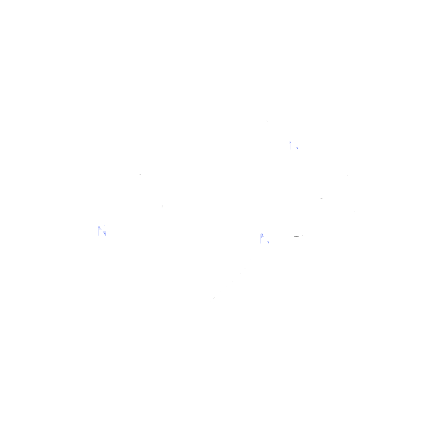 CN1CC2CC2(CN2CC(C34CC3CN(C)C4)C3CC32)C1